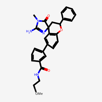 COCCNC(=O)c1cccc(-c2ccc3c(c2)C2(CC(c4ccccc4)O3)N=C(N)N(C)C2=O)c1